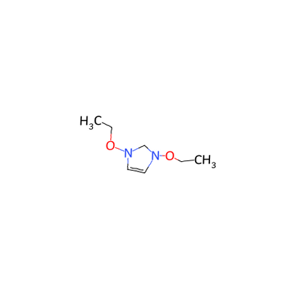 CCON1C=CN(OCC)C1